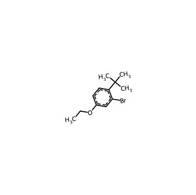 CCOc1ccc(C(C)(C)C)c(Br)c1